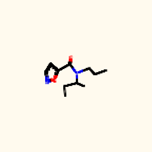 CCCN(C(=O)c1ccno1)C(C)CC